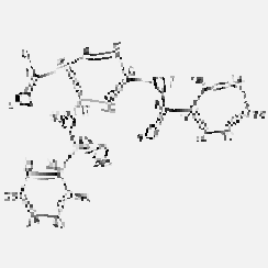 CC(=O)c1ccc(OC(=O)c2ccccc2)cc1OC(=O)c1ccccc1